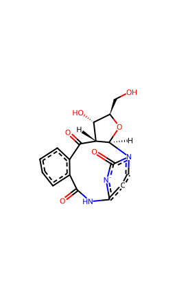 O=C1Nc2ccn(c(=O)n2)[C@@H]2O[C@H](CO)[C@@H](O)[C@H]2C(=O)c2ccccc21